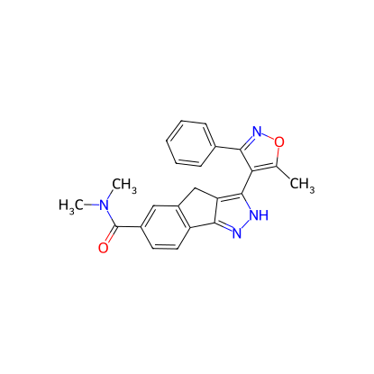 Cc1onc(-c2ccccc2)c1-c1[nH]nc2c1Cc1cc(C(=O)N(C)C)ccc1-2